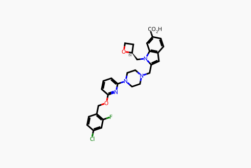 O=C(O)c1ccc2cc(CN3CCN(c4cccc(OCc5ccc(Cl)cc5F)n4)CC3)n(C[C@@H]3CCO3)c2c1